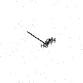 CC#CC#CC#CC#CC#CC#CC#CC(=O)N[C@@H](CO)CC(=O)N[C@@H](C)C(C)=O